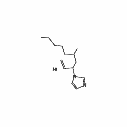 C=CC(CC(C)CCCCC)n1ccnc1.I